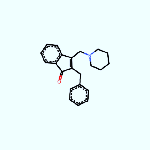 O=C1C(Cc2ccccc2)=C(CN2CCCCC2)c2ccccc21